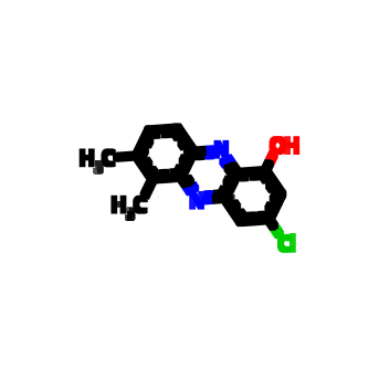 Cc1ccc2nc3c(O)cc(Cl)cc3nc2c1C